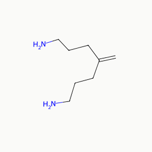 C=C(CCCN)CCCN